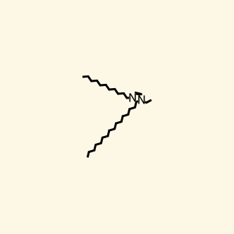 CCCCCCCCCCCCCCCC1N(CC)C=CN1CCCCCCCCCCC